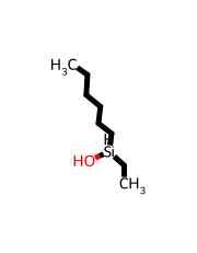 CCCCCC[SiH](O)CC